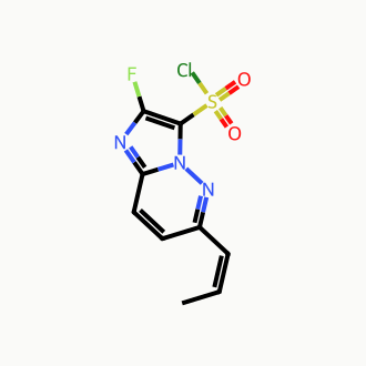 C/C=C\c1ccc2nc(F)c(S(=O)(=O)Cl)n2n1